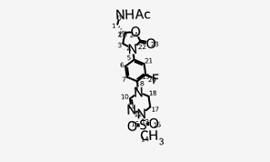 CC(=O)NC[C@H]1CN(c2ccc(N3C=NN(S(C)(=O)=O)CC3)c(F)c2)C(=O)O1